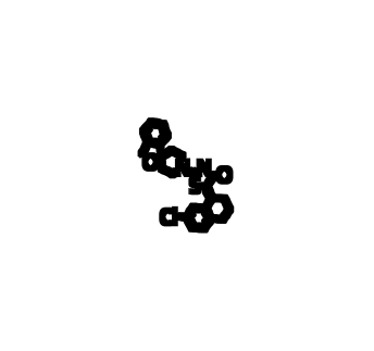 O=C1N=C(N2CCC3(CC2)OCc2ccccc23)S/C1=C1/CCCc2ccc(Cl)cc21